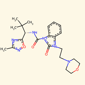 Cc1noc([C@@H](NC(=O)n2c(=O)n(CCN3CCOCC3)c3ccccc32)C(C)(C)C)n1